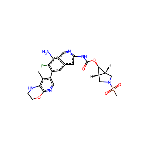 Cc1c(-c2cc3cc(NC(=O)O[C@H]4[C@@H]5CN(S(C)(=O)=O)C[C@@H]54)ncc3c(N)c2F)cnc2c1NCCO2